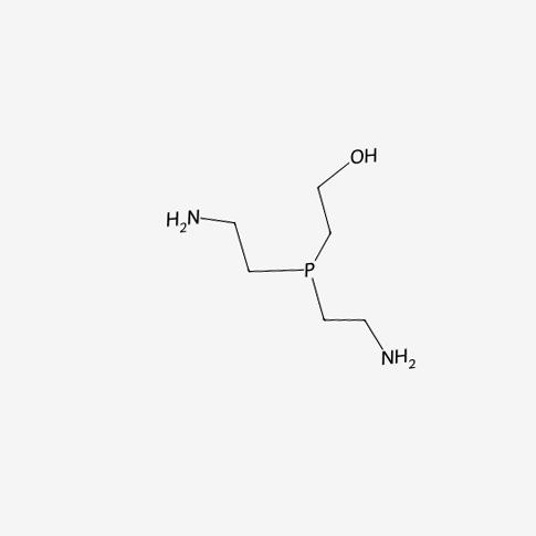 NCCP(CCN)CCO